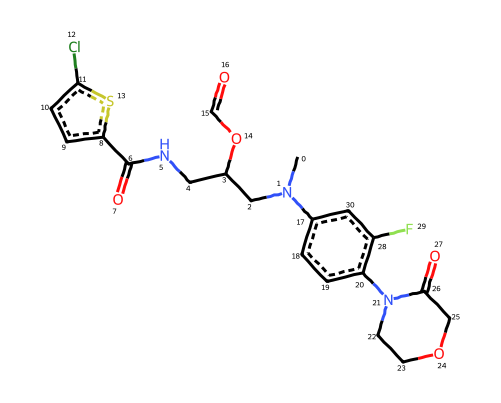 CN(CC(CNC(=O)c1ccc(Cl)s1)OC=O)c1ccc(N2CCOCC2=O)c(F)c1